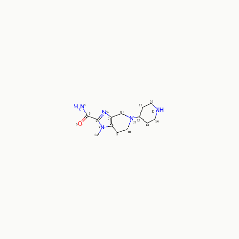 Cn1c(C(N)=O)nc2c1CCN(C1CCNCC1)C2